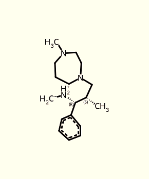 [CH2-][NH2+][C@@H](c1ccccc1)[C@@H](C)CN1CCCN(C)CC1